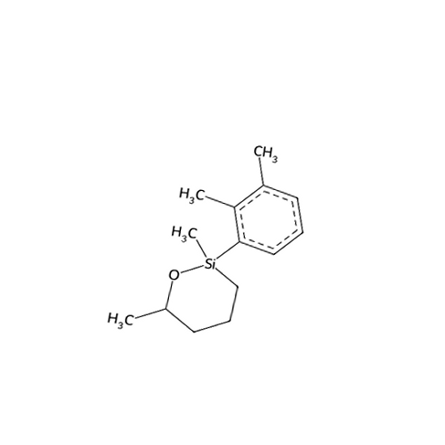 Cc1cccc([Si]2(C)CCCC(C)O2)c1C